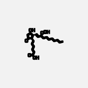 CCCCCCCCC(C=C[C@H]1[C@H](O)CC(=O)[C@@H]1CCCCCC(=O)O)OO